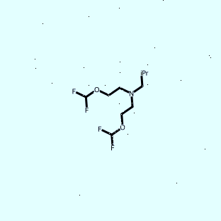 CC(C)CN(CCOC(F)F)CCOC(F)F